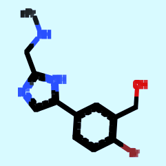 CCCNCc1ncc(-c2ccc(Br)c(CO)c2)[nH]1